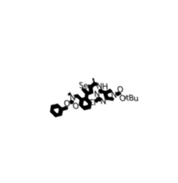 C[C@@H](Nc1nc(Cl)nc2c1CN(C(=O)OC(C)(C)C)C2)c1cc(-c2ccccc2CN(C)C(=O)OCc2ccccc2)c[se]1